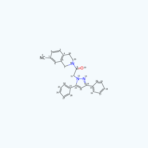 N#Cc1ccc2c(c1)CN(C(=O)Cn1nc(-c3ccccc3)cc1-c1ccccc1)CC2